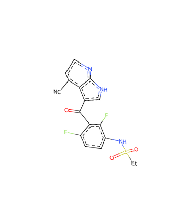 CCS(=O)(=O)Nc1ccc(F)c(C(=O)c2c[nH]c3nccc(C#N)c23)c1F